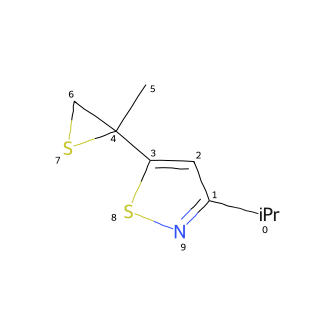 CC(C)c1cc(C2(C)CS2)sn1